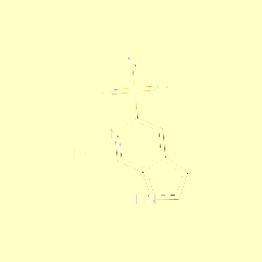 Cl.NS(=O)(=O)c1cc2cc[nH]c2cn1